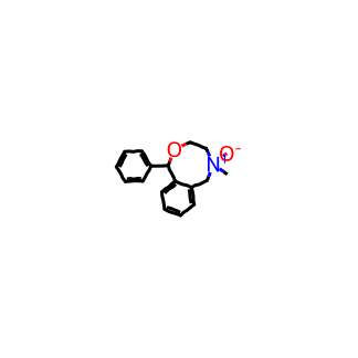 C[N+]1([O-])CCOC(c2ccccc2)c2ccccc2C1